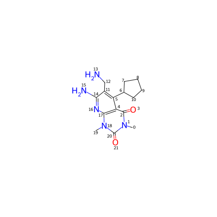 Cn1c(=O)c2c(C3CCCC3)c(CN)c(N)nc2n(C)c1=O